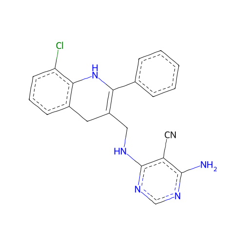 N#Cc1c(N)ncnc1NCC1=C(c2ccccc2)Nc2c(Cl)cccc2C1